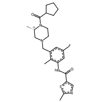 Cc1ncc(C(=O)Nc2cc(F)cc(CN3CCN(C(=O)C4CCCC4)[C@@H](C)C3)c2C)s1